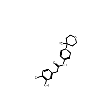 N#CC1(N2C=CC(NC(=O)Cc3ccc(Cl)c(O)c3)=CC2)CCOCC1